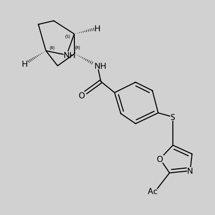 CC(=O)c1ncc(Sc2ccc(C(=O)N[C@@H]3C[C@H]4CC[C@@H]3N4)cc2)o1